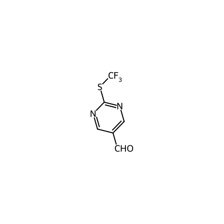 O=Cc1cnc(SC(F)(F)F)nc1